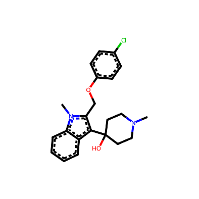 CN1CCC(O)(c2c(COc3ccc(Cl)cc3)n(C)c3ccccc23)CC1